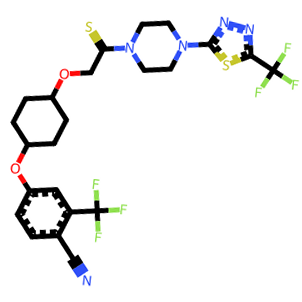 N#Cc1ccc(OC2CCC(OCC(=S)N3CCN(c4nnc(C(F)(F)F)s4)CC3)CC2)cc1C(F)(F)F